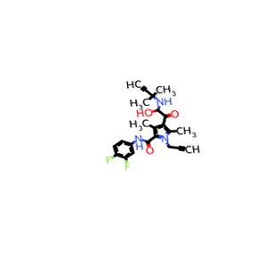 C#CCn1c(C)c(C(=O)C(O)NC(C)(C)C#C)c(C)c1C(=O)Nc1ccc(F)c(F)c1